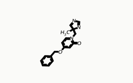 CC1(Cn2ccc(OCc3ccccc3)cc2=O)C=NC=N1